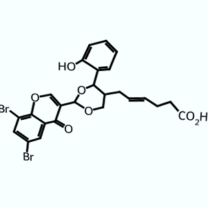 O=C(O)CCC=CCC1COC(c2coc3c(Br)cc(Br)cc3c2=O)OC1c1ccccc1O